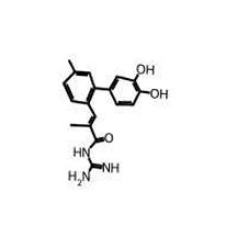 C/C(=C\c1ccc(C)cc1-c1ccc(O)c(O)c1)C(=O)NC(=N)N